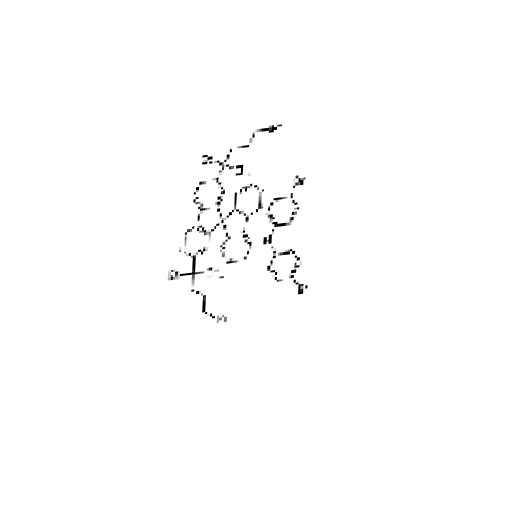 CCC(C)(CCCC(C)C)c1ccc2c(c1)C1(c3cc(C(C)(CC)CCCC(C)C)ccc3-2)c2cccc(N(c3ccc(Br)cc3)c3ccc(Br)cc3)c2C2C=CC=CC21